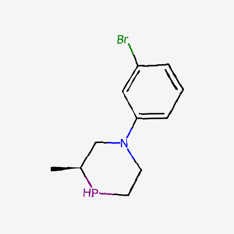 C[C@H]1CN(c2cccc(Br)c2)CCP1